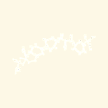 CC1(CC(=O)O)CCc2cc(-c3ccc(NC(=O)Nc4cccc(C(F)(F)F)c4)cc3)ccc2C1=O